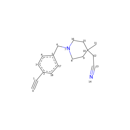 C#Cc1ccc(CN2CCC(C)(CC#N)CC2)cc1